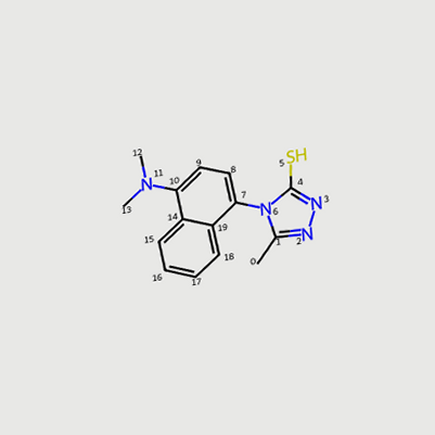 Cc1nnc(S)n1-c1ccc(N(C)C)c2ccccc12